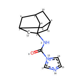 O=C(NC12CC3CC(CC(C3)C1)C2)n1ccnc1